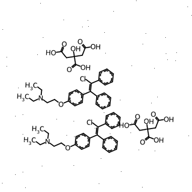 CCN(CC)CCOc1ccc(C(=C(Cl)c2ccccc2)c2ccccc2)cc1.CCN(CC)CCOc1ccc(C(=C(Cl)c2ccccc2)c2ccccc2)cc1.O=C(O)CC(O)(CC(=O)O)C(=O)O.O=C(O)CC(O)(CC(=O)O)C(=O)O